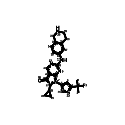 CC(C)(F)c1cc(-n2c3nc(Nc4ccc5c(c4)CCNC5)ncc3c(=O)n2C2CC2)ns1